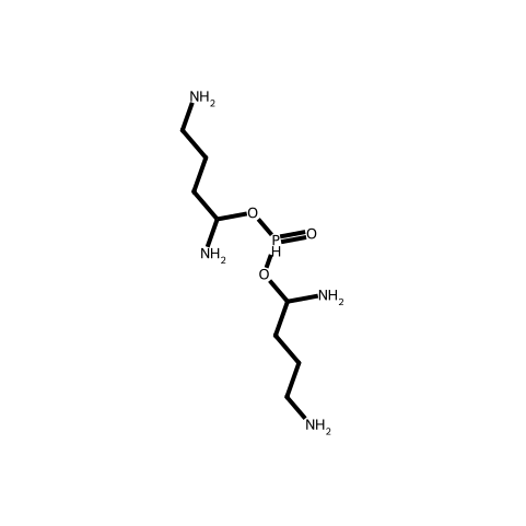 NCCCC(N)O[PH](=O)OC(N)CCCN